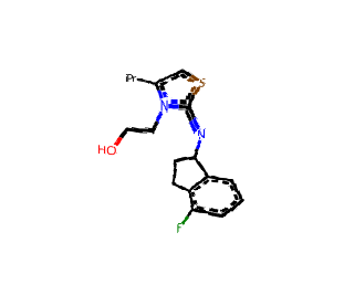 CC(C)c1cs/c(=N/C2CCc3c(F)cccc32)n1CCO